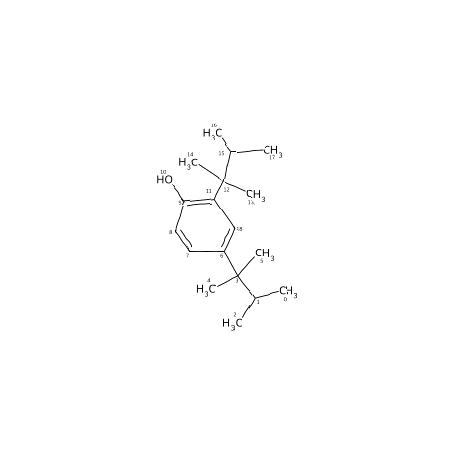 CC(C)C(C)(C)c1ccc(O)c(C(C)(C)C(C)C)c1